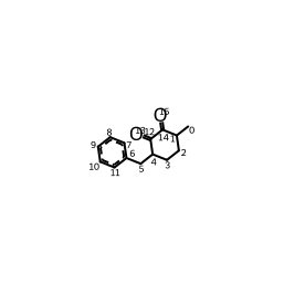 CC1CCC(Cc2ccccc2)C(=O)C1=O